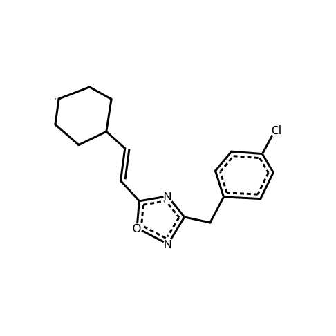 Clc1ccc(Cc2noc(C=CC3CC[CH]CC3)n2)cc1